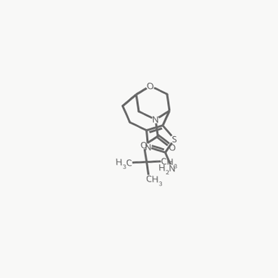 CC(C)(C)OC(=O)N1CC2CCc3nc(N)sc3C1CO2